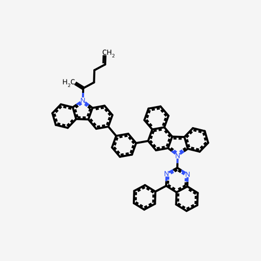 C=CCCC(=C)n1c2ccccc2c2cc(-c3cccc(-c4cc5c(c6ccccc46)c4ccccc4n5-c4nc(-c5ccccc5)c5ccccc5n4)c3)ccc21